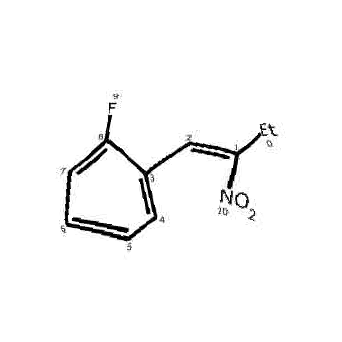 CCC(=Cc1ccccc1F)[N+](=O)[O-]